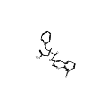 C=C(CC)CC(C)(Cc1ccccc1)C(=O)Nc1cnc2c(F)cccc2c1